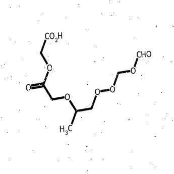 CC(COOCOC=O)OCC(=O)OCC(=O)O